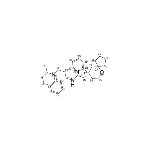 CC1CCc2cccc3c2N1CCC3NCC[C@@]1(c2ccccn2)CCOC2(CCCC2)C1